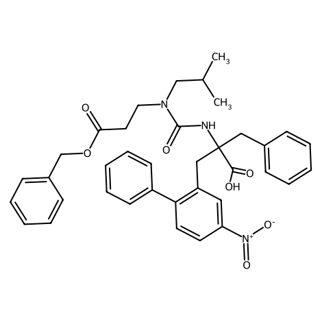 CC(C)CN(CCC(=O)OCc1ccccc1)C(=O)NC(Cc1ccccc1)(Cc1cc([N+](=O)[O-])ccc1-c1ccccc1)C(=O)O